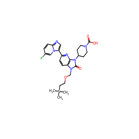 C[Si](C)(C)CCOCn1c(=O)n(C2CCN(C(=O)O)CC2)c2nc(-c3cnc4ccc(F)cn34)ccc21